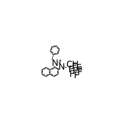 CCn1c[n+](Cc2ccccc2)c2c3ccccc3ccc21.F[P-](F)(F)(F)(F)F